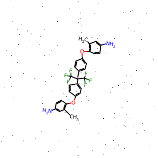 Cc1cc(N)ccc1Oc1ccc(C(c2ccc(Oc3ccc(N)cc3C)cc2)(C(F)(F)F)C(F)(F)F)cc1